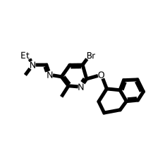 CCN(C)/C=N/c1cc(Br)c(OC2CCCc3ccccc32)nc1C